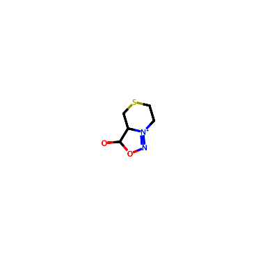 [O-]C1ON=[N+]2CCSCC12